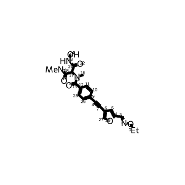 CCON=Cc1cc(C#Cc2ccc(C(=O)N(C)C(C(=O)NC)C(=O)NO)cc2)co1